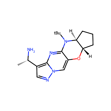 C[C@H](N)c1cnn2cc3c(nc12)N(C(C)(C)C)[C@H]1CCC[C@@H]1O3